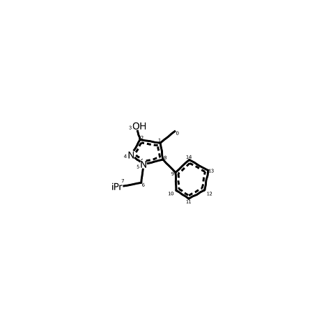 Cc1c(O)nn(CC(C)C)c1-c1ccccc1